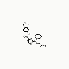 COCCN(c1cc(C(=O)Nc2ccc(CN)cc2)ncn1)C1CCCCC1